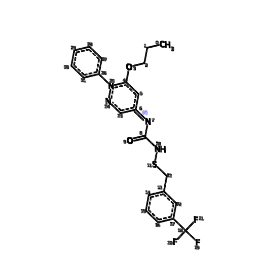 CCCOc1c/c(=N/C(=O)NSCc2cccc(C(F)(F)F)c2)cnn1-c1ccccc1